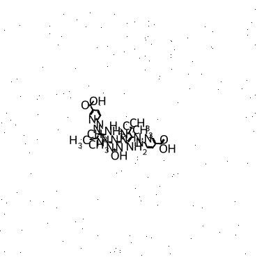 CC(C)(C)c1nn(-c2nc(O)nc(-n3nc(C(C)(C)C)c(N=Nc4ccc(C(=O)O)cn4)c3N)n2)c(N)c1N=Nc1ccc(C(=O)O)cn1